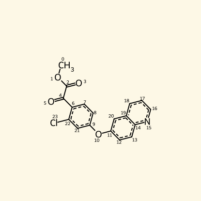 COC(=O)C(=O)c1ccc(Oc2ccc3ncccc3c2)cc1Cl